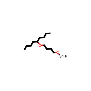 CCCCC(CCCC)OCCCC[O][SnH]